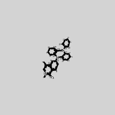 Cc1cn(C)c(=O)c2ccc(N3c4ccccc4N(c4ccccc4)c4ccccc43)cc12